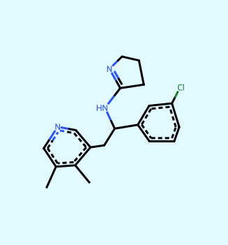 Cc1cncc(CC(NC2=NCCC2)c2cccc(Cl)c2)c1C